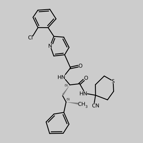 C[C@@H](C[C@H](NC(=O)c1ccc(-c2ccccc2Cl)nc1)C(=O)NC1(C#N)CCSCC1)c1ccccc1